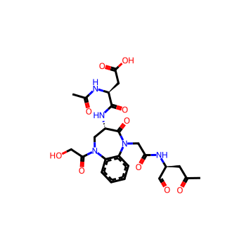 CC(=O)C[C@@H](C=O)NC(=O)CN1C(=O)[C@@H](NC(=O)[C@H](CC(=O)O)NC(C)=O)CN(C(=O)CO)c2ccccc21